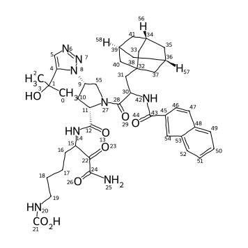 CC(C)(O)c1cnnn1[C@H]1C[C@@H](C(=O)NC(CCCCNC(=O)O)C(=O)C(N)=O)N(C(=O)C(CC23C[C@H]4C[C@H](C2)C[C@@H](C3)C4)NC(=O)c2ccc3ccccc3c2)C1